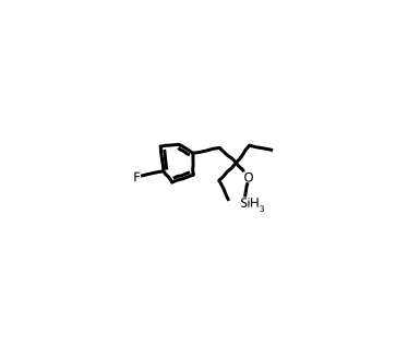 CCC(CC)(Cc1ccc(F)cc1)O[SiH3]